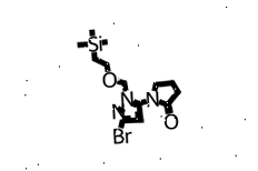 C[Si](C)(C)CCOCn1nc(Br)cc1N1CCCC1=O